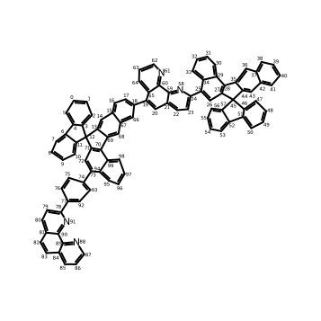 c1ccc2c(c1)-c1ccccc1C21c2cc3ccc(-c4cc5ccc(-c6cc7c(c8ccccc68)-c6cc8ccccc8cc6C76c7ccccc7-c7ccccc76)nc5c5ncccc45)cc3cc2-c2c1cc(-c1ccc(-c3ccc4ccc5cccnc5c4n3)cc1)c1ccccc21